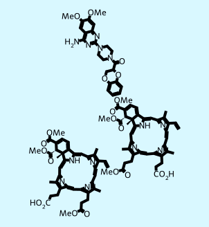 C=CC1=C(C)c2cc3[nH]c(cc4nc(cc5[nH]c(cc1n2)c(C)c5CCC(=O)O)C(CCC(=O)OC)=C4C)[C@@]1(C)C3=CC=C(C(=O)OC)[C@H]1C(=O)OC.C=CC1=C(C)c2cc3[nH]c(cc4nc(cc5[nH]c(cc1n2)c(C)c5CCC(=O)OC)C(CCC(=O)O)=C4C)[C@@]1(C)C3=CC=C(C(=O)OC)[C@H]1C(=O)OC.COc1cc2nc(N3CCN(C(=O)C4COc5ccccc5O4)CC3)nc(N)c2cc1OC